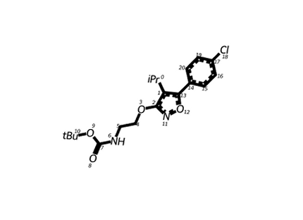 CC(C)c1c(OCCNC(=O)OC(C)(C)C)noc1-c1ccc(Cl)cc1